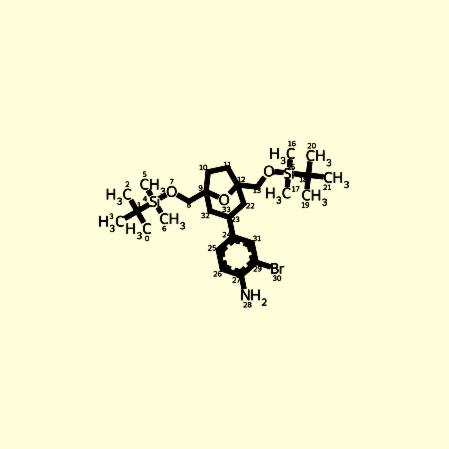 CC(C)(C)[Si](C)(C)OCC12CCC(CO[Si](C)(C)C(C)(C)C)(CC(c3ccc(N)c(Br)c3)C1)O2